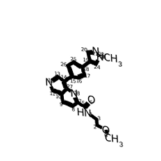 COCCNC(=O)c1ccc2cncc(-c3ccc(-c4cnn(C)c4)cc3)c2n1